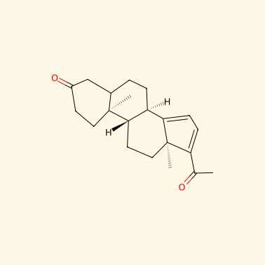 CC(=O)C1=CC=C2[C@@H]3CCC4CC(=O)CC[C@]4(C)[C@H]3CC[C@]12C